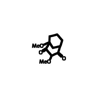 COC1C(=O)C2CCCC(OC)(C2)C1=O